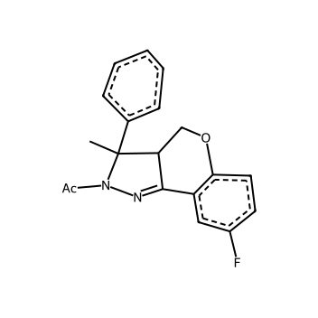 CC(=O)N1N=C2c3cc(F)ccc3OCC2C1(C)c1ccccc1